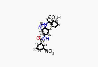 O=C(O)CC(c1ccccc1)n1cnc2cc(NC(=O)c3cccc([N+](=O)[O-])c3)ccc21